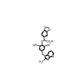 CCCc1cc(Cn2c(C)nc3ncccc32)cc(CCC)c1OC(C(=O)O)c1ccc2c(c1)OCO2